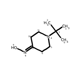 CC(C)(C)N1CCC(=NO)CC1